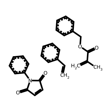 C=C(C)C(=O)OCc1ccccc1.C=Cc1ccccc1.O=C1C=CC(=O)N1c1ccccc1